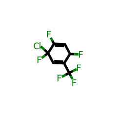 FC1=CC(F)C(C(F)(F)F)=CC1(F)Cl